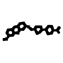 C=Nc1ccc2cc3ccc(N=Cc4ccc(-c5ccc(C(=C)C)cc5)cc4)cc3nc2c1